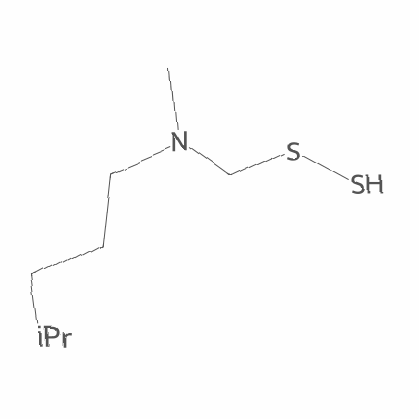 CC(C)CCCN(C)CSS